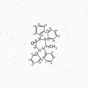 CC1C(c2ccccc2)C(c2ccccc2)C2OC2C(c2ccccc2)C1c1ccccc1